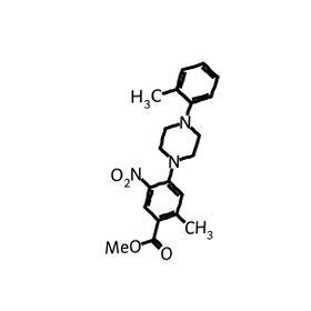 COC(=O)c1cc([N+](=O)[O-])c(N2CCN(c3ccccc3C)CC2)cc1C